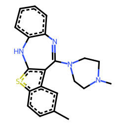 Cc1ccc2sc3c(c2c1)C(N1CCN(C)CC1)=Nc1ccccc1N3